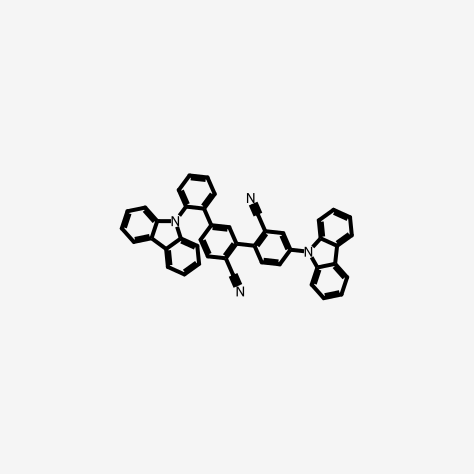 N#Cc1cc(-n2c3ccccc3c3ccccc32)ccc1-c1cc(-c2ccccc2-n2c3ccccc3c3ccccc32)ccc1C#N